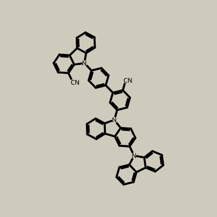 N#Cc1ccc(-n2c3ccccc3c3cc(-n4c5ccccc5c5ccccc54)ccc32)cc1-c1ccc(-n2c3ccccc3c3cccc(C#N)c32)cc1